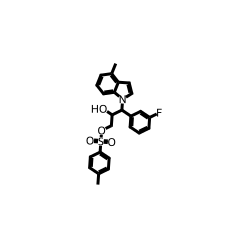 Cc1ccc(S(=O)(=O)OCC(O)C(c2cccc(F)c2)n2ccc3c(C)cccc32)cc1